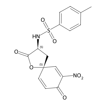 Cc1ccc(S(=O)(=O)N[C@H]2C[C@@]3(C=CC(=O)C([N+](=O)[O-])=C3)OC2=O)cc1